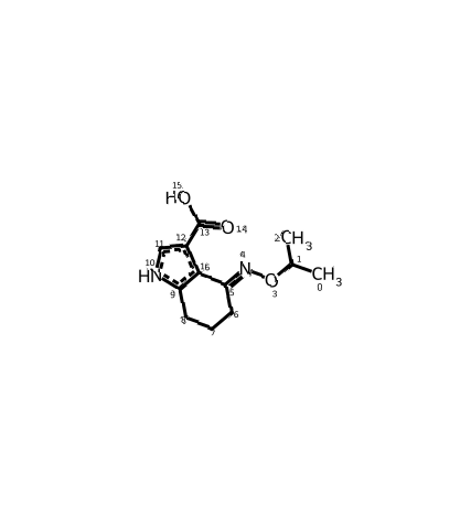 CC(C)ON=C1CCCc2[nH]cc(C(=O)O)c21